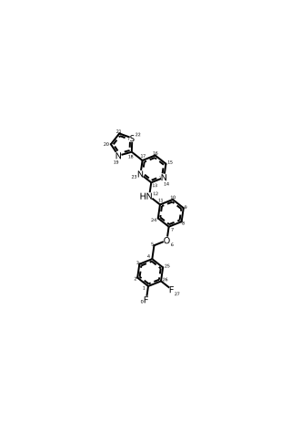 Fc1ccc(COc2cccc(Nc3nccc(-c4nccs4)n3)c2)cc1F